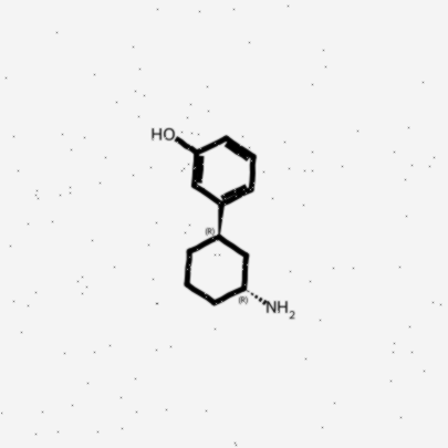 N[C@@H]1CCC[C@@H](c2cccc(O)c2)C1